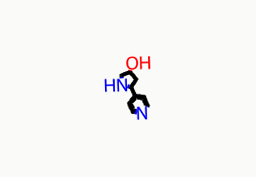 OC1CNC(c2ccncc2)C1